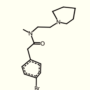 CN(CCN1CCCCC1)C(=O)Cc1ccc(Br)cc1